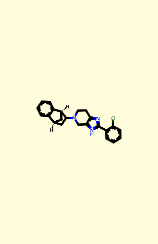 Clc1ccccc1-c1nc2c([nH]1)CN(C1C[C@@H]3C[C@H]1c1ccccc13)CC2